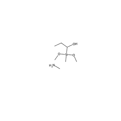 CCC(O)[Si](C)(OC)OC.CN